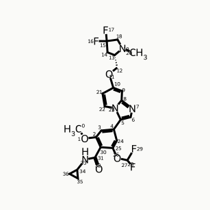 COc1cc(-c2cnc3cc(OC[C@@H]4CC(F)(F)CN4C)ccn23)cc(OC(F)F)c1C(=O)NC1CC1